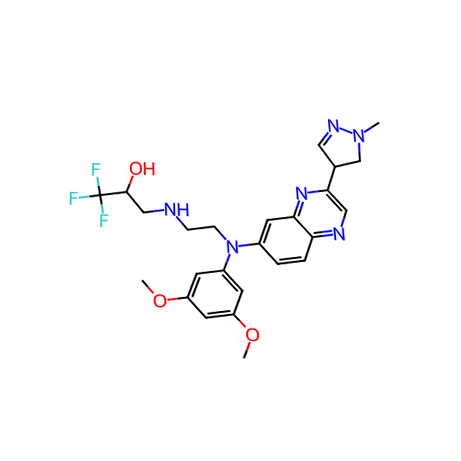 COc1cc(OC)cc(N(CCNCC(O)C(F)(F)F)c2ccc3ncc(C4C=NN(C)C4)nc3c2)c1